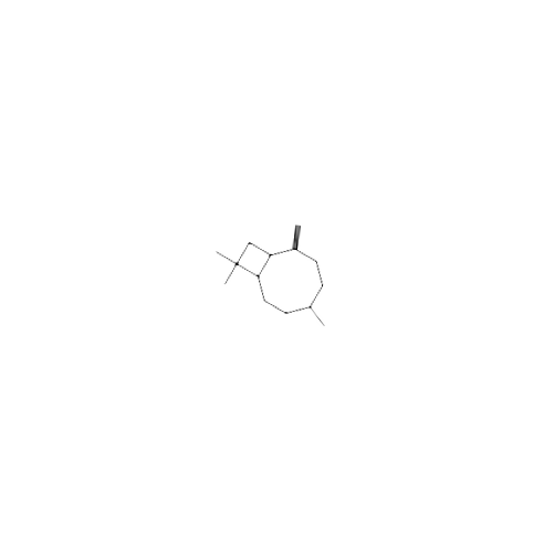 C=C1CCC(C)CCC2C1CC2(C)C